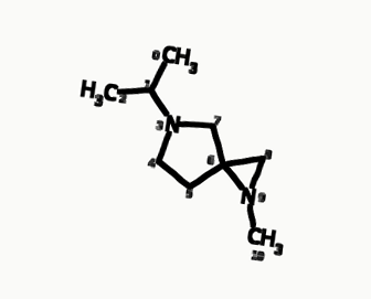 CC(C)N1CCC2(C1)CN2C